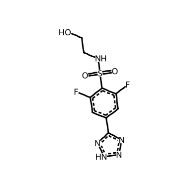 O=S(=O)(NCCO)c1c(F)cc(-c2nn[nH]n2)cc1F